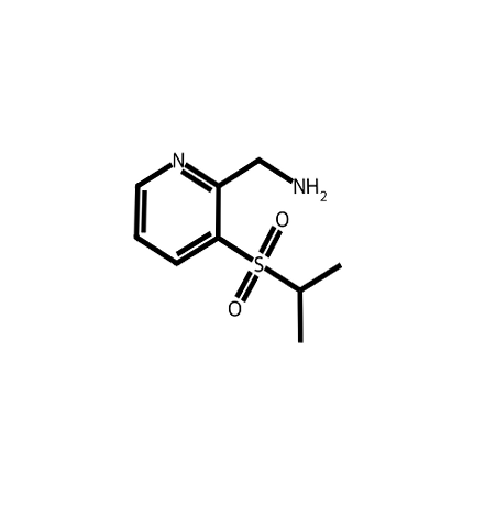 CC(C)S(=O)(=O)c1cccnc1CN